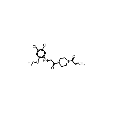 C=CC(=O)N1CCN(C(=O)CNc2cc(Cl)c(Cl)cc2OC)CC1